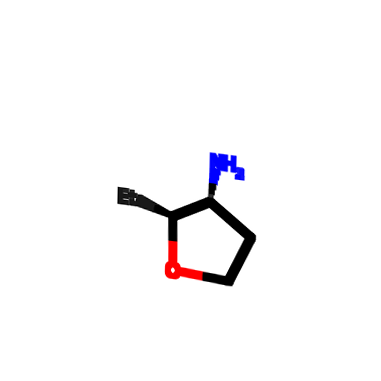 CC[C@@H]1OCC[C@H]1N